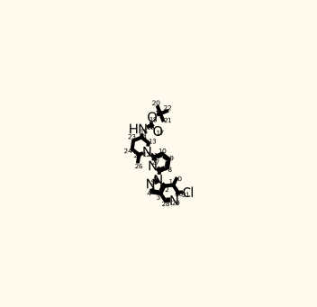 CC1c2c(cnn2-c2cccc(N3CC(NC(=O)OC(C)(C)C)CCC3C)n2)C=NC1Cl